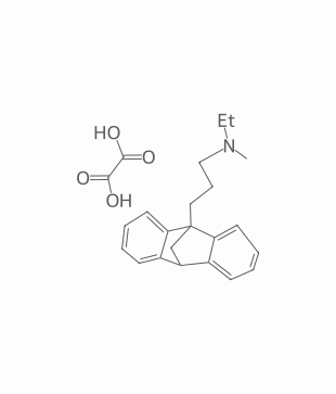 CCN(C)CCCC12CC(c3ccccc31)c1ccccc12.O=C(O)C(=O)O